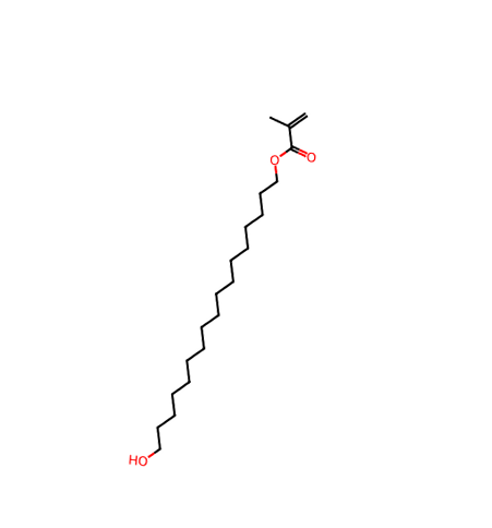 C=C(C)C(=O)OCCCCCCCCCCCCCCCCCO